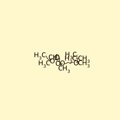 CCCC(C)(C)Oc1ccccc1OC(C)OCCCCOC(C)C(C)(C)CC